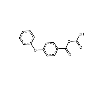 O=C(O)OC(=O)c1ccc(Oc2ccccc2)cc1